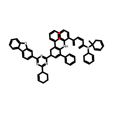 C=C(/C=C\C(=C)N(C1C=CC=CC1)C1(C)C=CC=CC1)c1ccccc1NC1=C(c2c#cccc2)CC(c2nc(-c3ccc4c(c3)oc3ccccc34)nc(C3C=CCCC3)n2)C=C1c1ccccc1